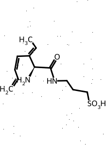 C=C/C=C\C(=C/C)[C@H](N)C(=O)NCCCS(=O)(=O)O